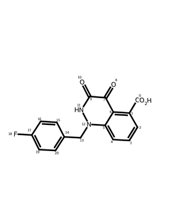 O=C(O)c1cccc2c1c(=O)c(=O)[nH]n2Cc1ccc(F)cc1